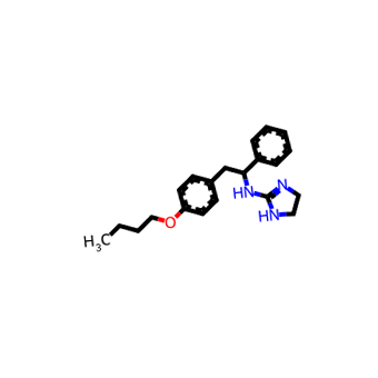 CCCCOc1ccc(CC(NC2=NCCN2)c2ccccc2)cc1